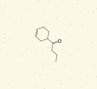 CCCC(=O)C1CC=CCC1